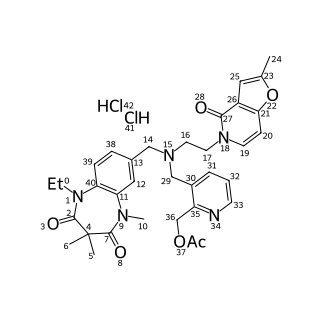 CCN1C(=O)C(C)(C)C(=O)N(C)c2cc(CN(CCn3ccc4oc(C)cc4c3=O)Cc3cccnc3COC(C)=O)ccc21.Cl.Cl